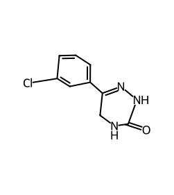 O=C1NCC(c2cccc(Cl)c2)=NN1